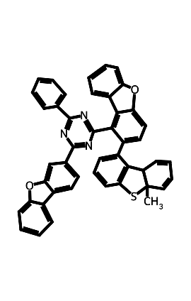 CC12C=CC=CC1c1c(cccc1-c1ccc3oc4ccccc4c3c1-c1nc(-c3ccccc3)nc(-c3ccc4c(c3)oc3ccccc34)n1)S2